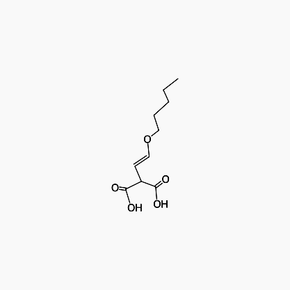 CCCCCO/C=C/C(C(=O)O)C(=O)O